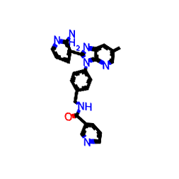 Cc1cnc2c(c1)nc(-c1cccnc1N)n2-c1ccc(CNC(=O)c2cccnc2)cc1